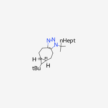 CCCCCCCC(C)(C)n1nnc2c1CC[C@H]1C(C(C)(C)C)[C@H]1CC2